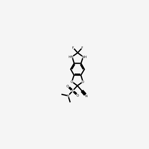 CN(C)S(=O)(=O)C1(C#N)Oc2cc3c(cc2O1)NC(F)(F)N3